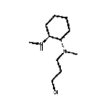 CN[C@H]1CCCC[C@@H]1N(C)CCCO